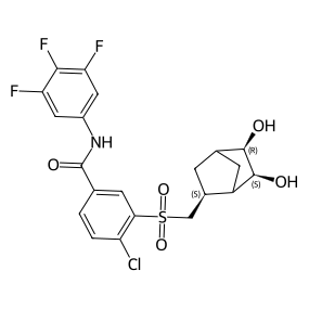 O=C(Nc1cc(F)c(F)c(F)c1)c1ccc(Cl)c(S(=O)(=O)C[C@H]2CC3CC2[C@H](O)[C@@H]3O)c1